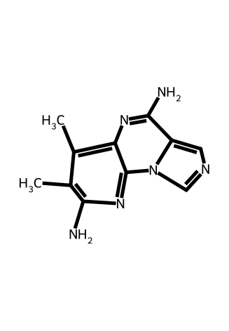 Cc1c(N)nc2c(nc(N)c3cncn32)c1C